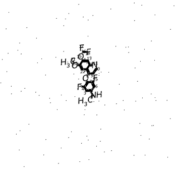 CNc1cc(F)c(Oc2ccnc3cc(OC(F)F)c(OC)cc23)c(F)c1